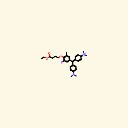 CCOC(=O)CCCOc1c(C)cc(C(=C2C=CC(=[N+](C)C)C=C2)c2ccc(N(C)C)cc2)cc1I